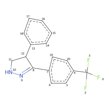 FC(F)(F)c1ccc(C2=NNCC2c2ccccc2)cc1